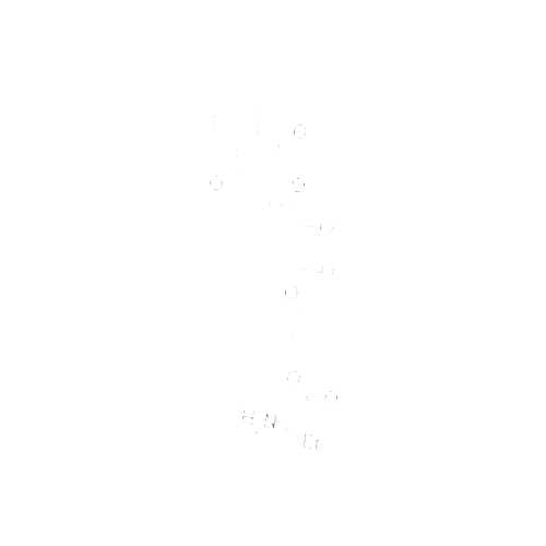 CC[C@H](N)C(=O)OCCCOC(=O)CC(=O)c1cc2c(o1)C(=O)c1ccccc1C2=O